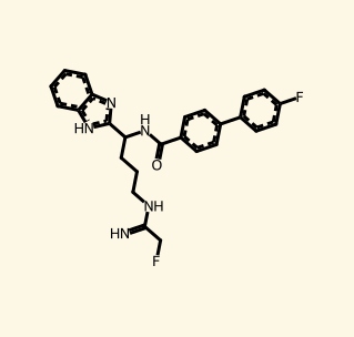 N=C(CF)NCCCC(NC(=O)c1ccc(-c2ccc(F)cc2)cc1)c1nc2ccccc2[nH]1